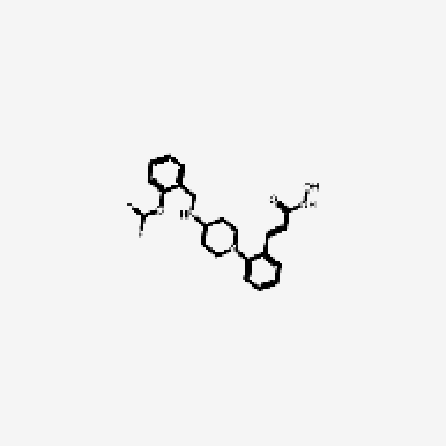 O=C(C=Cc1ccccc1N1CCC(NCc2ccccc2OC(F)F)CC1)NO